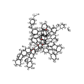 C=Cc1ccc(Oc2ccc(C3(c4ccc(F)cc4)c4ccccc4-c4ccc(N(c5ccc(-c6ccc7cc8oc9ccccc9c8cc7c6)cc5)c5ccc6c(c5)C5(c7ccccc7-6)c6ccccc6-c6ccc(N(c7ccc(-c8ccc9cc%10oc%11ccccc%11c%10cc9c8)cc7)c7ccc8c(c7)C(c7ccc(F)cc7)(c7ccc(Oc9ccc(C=C)cc9)cc7)c7ccccc7-8)cc65)cc43)cc2)cc1